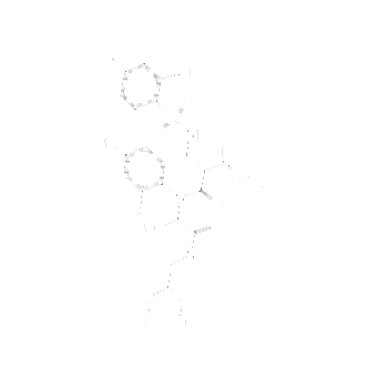 CCOC(CN(C(=O)C(C)N(C(=O)C(CNS(=O)(=O)c1ccc(Cl)cc1Cl)NC(=O)O)c1ccc(F)cc1F)C(C)C)OCC